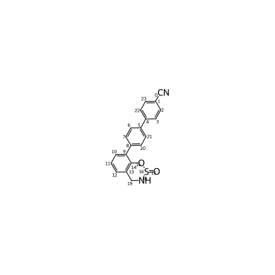 N#Cc1ccc(-c2ccc(-c3cccc4c3OS(=O)NC4)cc2)cc1